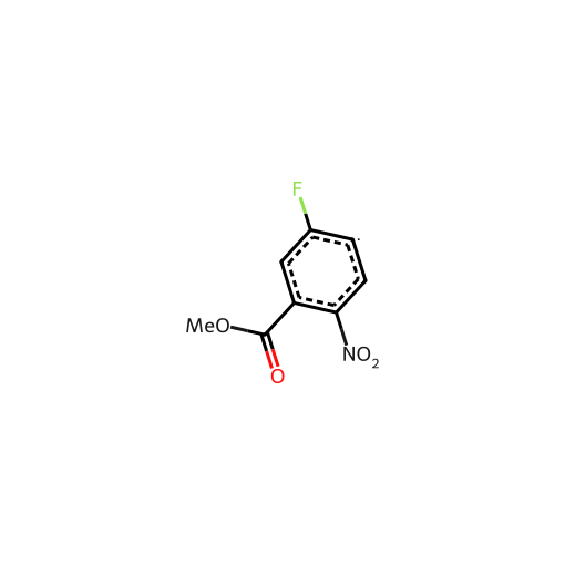 COC(=O)c1cc(F)[c]cc1[N+](=O)[O-]